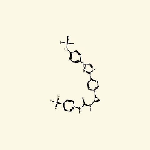 FC(F)(F)Oc1ccc(-n2cnc(-c3ccc(C4CC4NC(=S)Nc4ccc(C(F)(F)F)cc4)cc3)n2)cc1